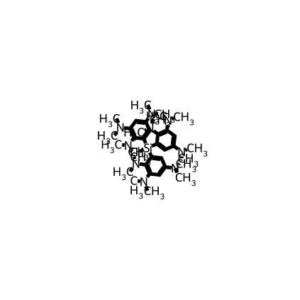 CN(C)c1cc(N(C)C)c(N(C)C)c([Si](Cl)(c2cc(N(C)C)cc(N(C)C)c2N(C)C)c2cc(N(C)C)cc(N(C)C)c2N(C)C)c1